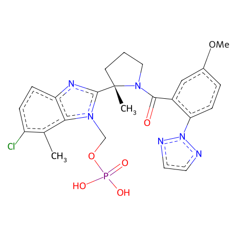 COc1ccc(-n2nccn2)c(C(=O)N2CCC[C@@]2(C)c2nc3ccc(Cl)c(C)c3n2COP(=O)(O)O)c1